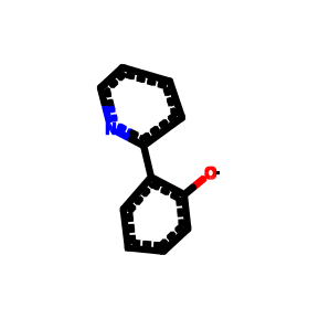 [O]c1ccccc1-c1ccccn1